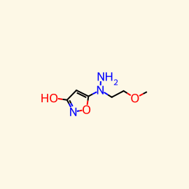 COCCN(N)c1cc(O)no1